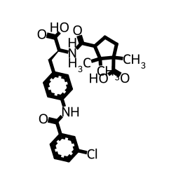 CC1(C(=O)O)CCC(C(=O)N[C@@H](Cc2ccc(NC(=O)c3cccc(Cl)c3)cc2)C(=O)O)C1(C)C